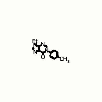 CCn1cnc2c(=O)n(-c3ccc(C)cc3)cnc21